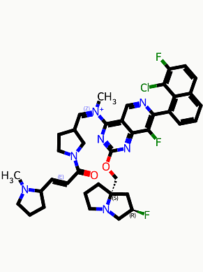 CN1CCCC1/C=C/C(=O)N1CCC(/C=[N+](/C)c2nc(OC[C@@]34CCCN3C[C@H](F)C4)nc3c(F)c(-c4cccc5ccc(F)c(Cl)c45)ncc23)C1